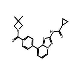 CC1(C)CN(C(=O)c2ccc(-c3cccn4nc(NC(=O)C5CC5)nc34)cc2)C1